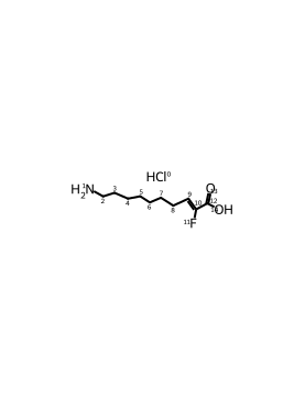 Cl.NCCCCCCC/C=C(\F)C(=O)O